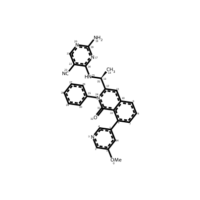 COc1cncc(-c2cccc3cc([C@H](C)Nc4nc(N)ncc4C#N)n(-c4ccccc4)c(=O)c23)c1